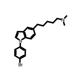 CN(C)CCCCCc1ccc2c(ccn2-c2ccc(Br)cc2)c1